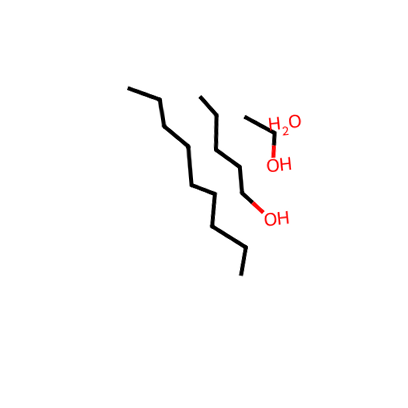 CCCCCCCCC.CCCCCO.CCO.O